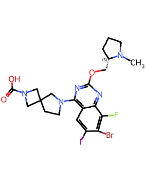 CN1CCC[C@H]1COc1nc(N2CCC3(CN(C(=O)O)C3)C2)c2cc(I)c(Br)c(F)c2n1